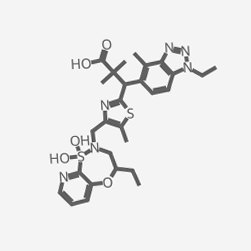 CCC1CN(Cc2nc(C(c3ccc4c(nnn4CC)c3C)C(C)(C)C(=O)O)sc2C)S(O)(O)c2ncccc2O1